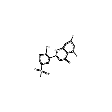 CS(=N)(=O)c1ccc(C#N)c(-c2cc(=O)c3c(F)cc(F)cc3[nH]2)c1